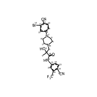 CC(O)(CN1CCN(c2ccc(C#N)c(Br)c2)CC1)C(=O)Nc1ccc(C#N)c(C(F)(F)F)c1